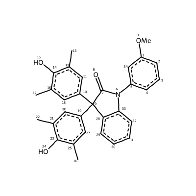 COc1cccc(N2C(=O)C(c3cc(C)c(O)c(C)c3)(c3cc(C)c(O)c(C)c3)c3ccccc32)c1